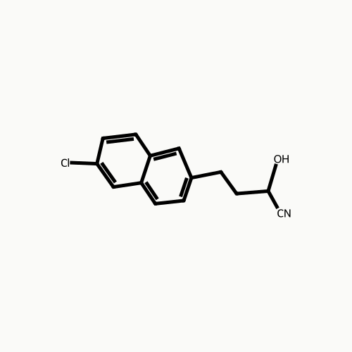 N#CC(O)CCc1ccc2cc(Cl)ccc2c1